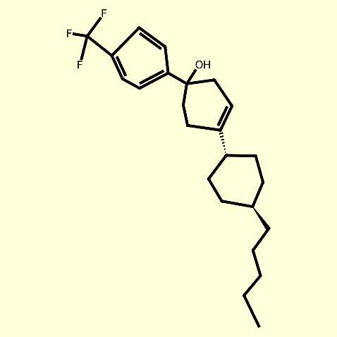 CCCCC[C@H]1CC[C@H](C2=CCC(O)(c3ccc(C(F)(F)F)cc3)CC2)CC1